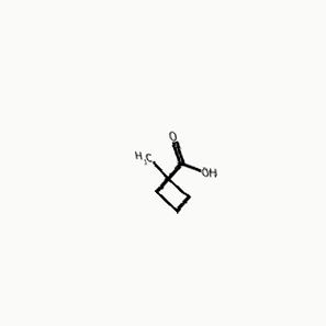 CC1(C(=O)O)C[CH]C1